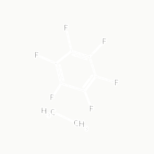 CC.Fc1c(F)c(F)c(F)c(F)c1F